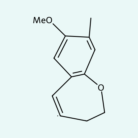 COc1cc2c(cc1C)OCC[C]=C2